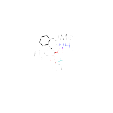 CCCC(F)OC(=O)C(C)(CN)c1ccccc1OC